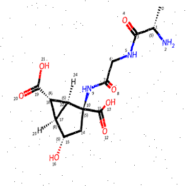 C[C@H](N)C(=O)NCC(=O)N[C@@]1(C(=O)O)C[C@H](O)[C@H]2[C@H](C(=O)O)[C@H]21